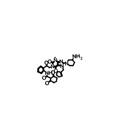 Cn1c(=O)n(CC(=O)c2ccccc2NC(=O)C2C(=O)CCCC2=O)c(=O)c2c1nc(N1CCCC(N)C1)n2CC1=CCCC1